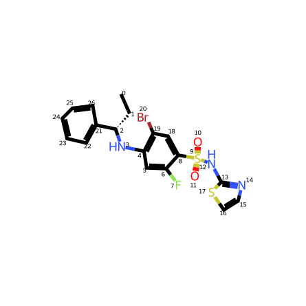 CC[C@H](Nc1cc(F)c(S(=O)(=O)Nc2nccs2)cc1Br)c1ccccc1